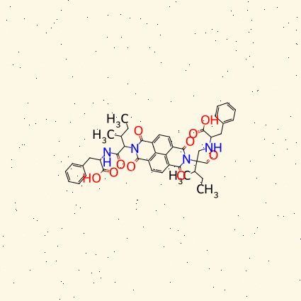 CCC(C)C(C(=O)NC(Cc1ccccc1)C(=O)O)N1C(=O)c2ccc3c4c(ccc(c24)C1=O)C(=O)N(C(C=O)(CNC(Cc1ccccc1)C(=O)O)C(C)CC)C3=O